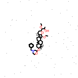 CCOC(C(C)O)C1C[C@@H](C)[C@H]2C(O1)[C@H](OCC)[C@@]1(C)C3CC[C@H]4C(C)(C)C(OC5CN(Cc6ccccc6)CCO5)CCC45CC35CCC21C